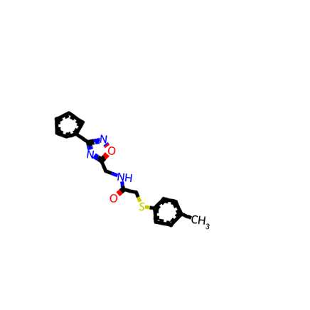 Cc1ccc(SCC(=O)NCc2nc(-c3ccccc3)no2)cc1